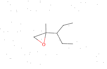 CCC(CC)C1(C)CO1